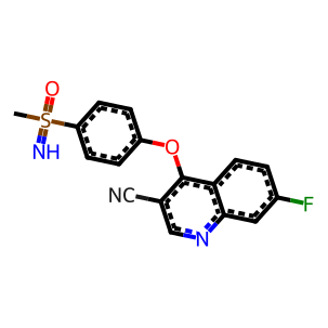 CS(=N)(=O)c1ccc(Oc2c(C#N)cnc3cc(F)ccc23)cc1